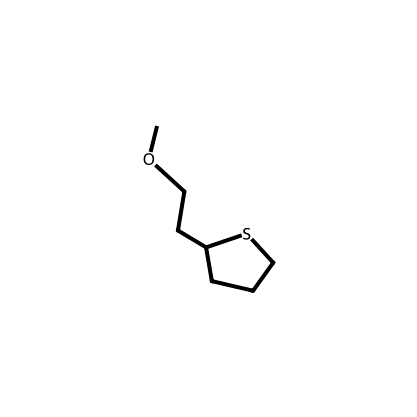 COCCC1CCCS1